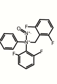 O=[N+][N+](Cc1c(F)cccc1F)(c1ccccc1)c1c(F)cccc1F